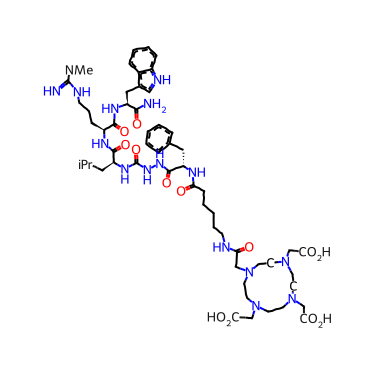 CNC(=N)NCCC[C@H](NC(=O)[C@H](CC(C)C)NC(=O)NNC(=O)[C@H](Cc1ccccc1)NC(=O)CCCCCNC(=O)CN1CCN(CC(=O)O)CCN(CC(=O)O)CCN(CC(=O)O)CC1)C(=O)N[C@@H](Cc1c[nH]c2ccccc12)C(N)=O